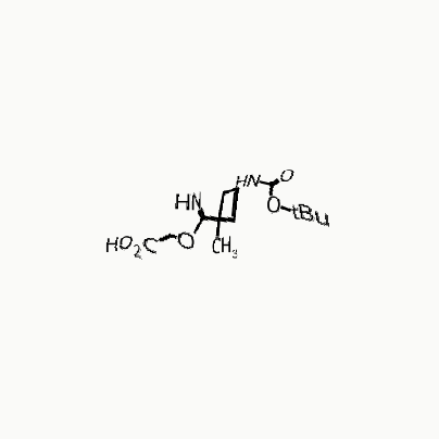 CC(C)(C)OC(=O)NC1=CC(C)(C(=N)OCC(=O)O)C1